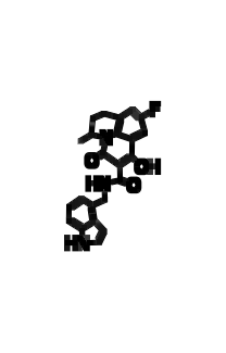 CC1CCc2cc(F)cc3c(O)c(C(=O)NCc4cccc5[nH]ccc45)c(=O)n1c23